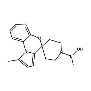 CB(O)N1CCC2(CC1)Oc1ncccc1-n1c(C)ccc12